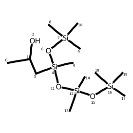 CC(O)C[Si](C)(O[Si](C)(C)C)O[Si](C)(C)O[Si](C)(C)C